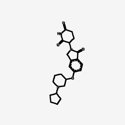 O=C1CCC(N2Cc3cc(OC4CCCN(C5CCCC5)C4)ccc3C2=O)C(=O)N1